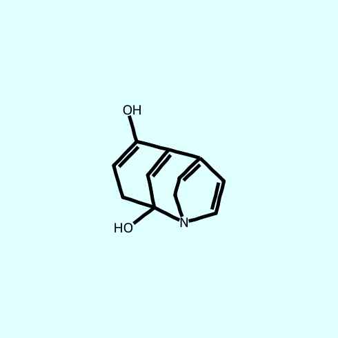 OC1=CCC2(O)C=C1C1=CCN2C=C1